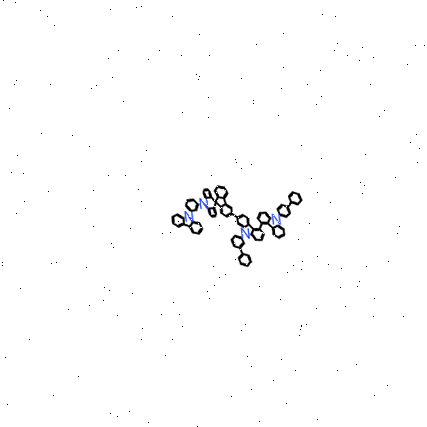 c1ccc(-c2ccc(-n3c4ccccc4c4c(-c5cccc6c5c5ccc(-c7ccc8c(c7)-c7ccccc7C87c8ccccc8N(c8cccc(-n9c%10ccccc%10c%10ccccc%109)c8)c8ccccc87)cc5n6-c5cccc(-c6ccccc6)c5)cccc43)cc2)cc1